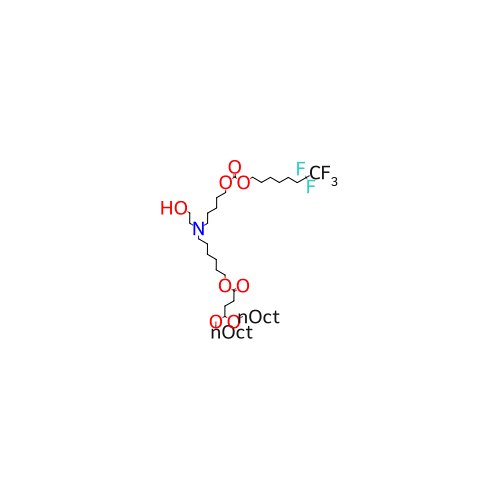 CCCCCCCCOC(CCC(=O)OCCCCCCN(CCO)CCCCCOC(=O)OCCCCCCC(F)(F)C(F)(F)F)OCCCCCCCC